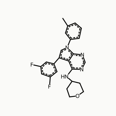 Cc1cccc(-n2cc(-c3cc(F)cc(F)c3)c3c(NC4CCOCC4)ncnc32)c1